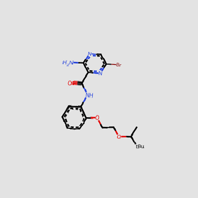 C[C](OCCOc1ccccc1NC(=O)c1nc(Br)cnc1N)C(C)(C)C